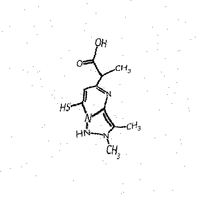 CC1=C2N=C(C(C)C(=O)O)C=C(S)N2NN1C